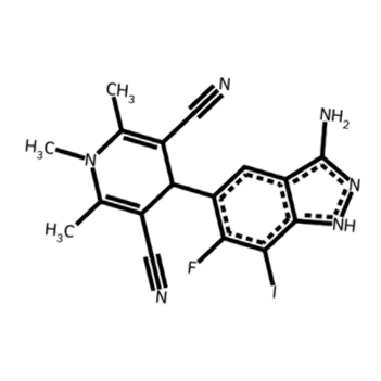 CC1=C(C#N)C(c2cc3c(N)n[nH]c3c(I)c2F)C(C#N)=C(C)N1C